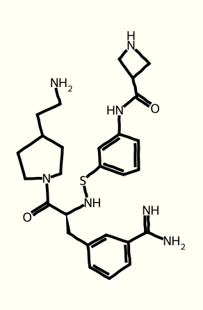 N=C(N)c1cccc(C[C@H](NSc2cccc(NC(=O)C3CNC3)c2)C(=O)N2CCC(CCN)CC2)c1